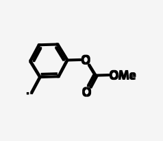 [CH2]c1cccc(OC(=O)OC)c1